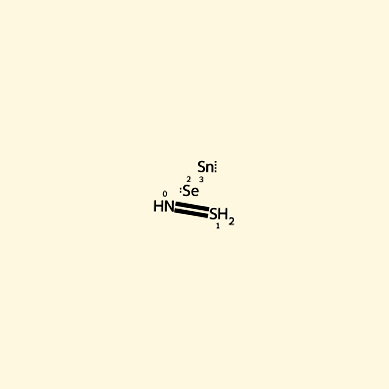 N=[SH2].[Se].[Sn]